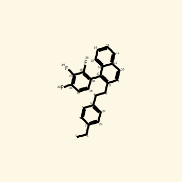 CCc1ccc(CCc2ccc3ccccc3c2-c2ccc(F)c(F)c2F)cc1